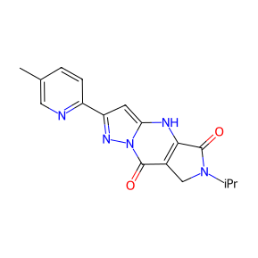 Cc1ccc(-c2cc3[nH]c4c(c(=O)n3n2)CN(C(C)C)C4=O)nc1